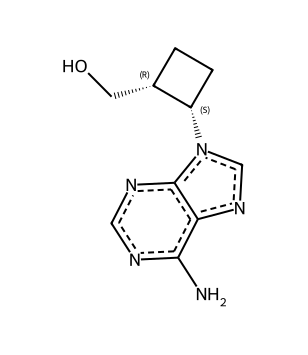 Nc1ncnc2c1ncn2[C@H]1CC[C@H]1CO